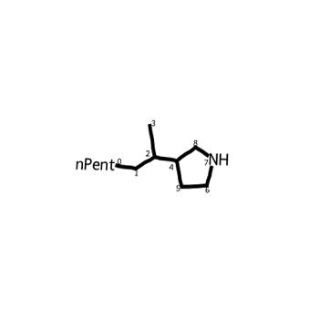 CCCCCCC(C)C1CCNC1